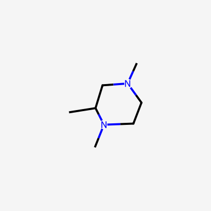 CC1CN(C)CCN1C